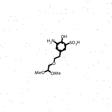 COC(COCCc1cc(N)c(O)c(S(=O)(=O)O)c1)OC